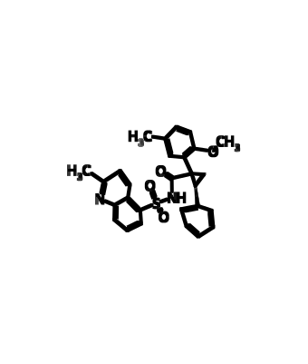 COc1ccc(C)cc1C1(C(=O)NS(=O)(=O)c2cccc3nc(C)ccc23)C[C@H]1c1ccccc1